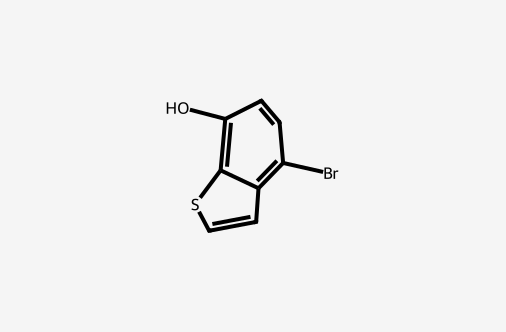 Oc1ccc(Br)c2ccsc12